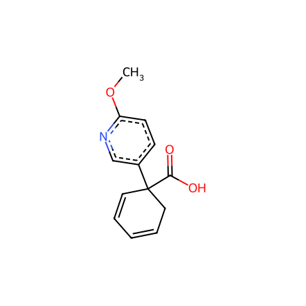 COc1ccc(C2(C(=O)O)C=CC=CC2)cn1